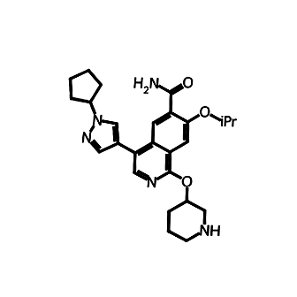 CC(C)Oc1cc2c(OC3CCCNC3)ncc(-c3cnn(C4CCCC4)c3)c2cc1C(N)=O